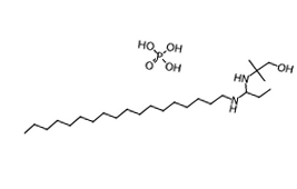 CCCCCCCCCCCCCCCCCCNC(CC)NC(C)(C)CO.O=P(O)(O)O